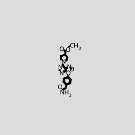 CCOC(=O)C1CCN(c2ncnc(Oc3ccc(CC(N)=O)cc3)c2N=O)CC1